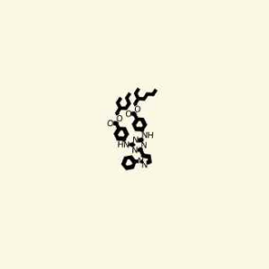 CCCCC(CC)COC(=O)c1ccc(Nc2nc(Nc3ccc(C(=O)OCC(CC)CCCC)cc3)nc(-c3ccnn3-c3ccccc3)n2)cc1